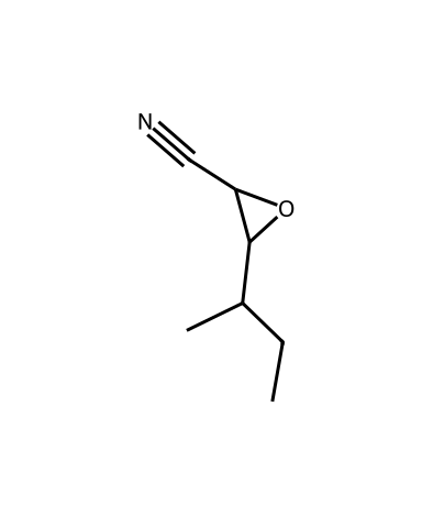 CCC(C)C1OC1C#N